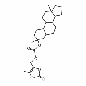 Cc1oc(=O)oc1COC(=O)OC1(C)CCC2C(CCC3C2CCC2(C)CCCC32)C1